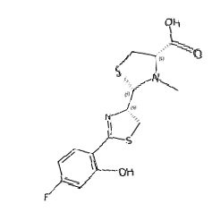 CN1[C@@H](C(=O)O)CS[C@H]1[C@@H]1CSC(c2ccc(F)cc2O)=N1